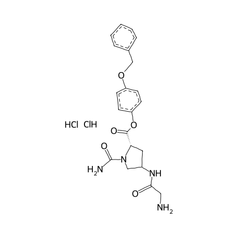 Cl.Cl.NCC(=O)NC1C[C@@H](C(=O)Oc2ccc(OCc3ccccc3)cc2)N(C(N)=O)C1